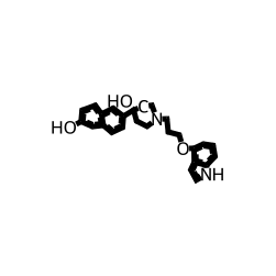 Oc1ccc2cc(C3(O)CCN(CCCOc4cccc5[nH]ccc45)CC3)ccc2c1